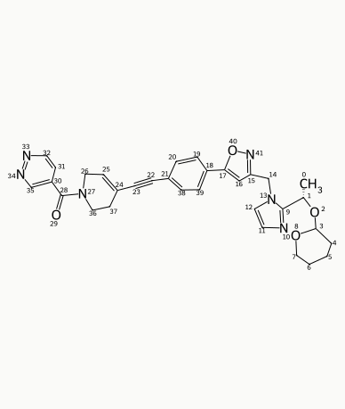 C[C@H](OC1CCCCO1)c1nccn1Cc1cc(-c2ccc(C#CC3=CCN(C(=O)c4ccnnc4)CC3)cc2)on1